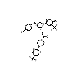 O=C(CC[C@@H]1C[C@@H](Oc2ccc(Cl)cc2)CN1c1cc(C(F)(F)F)c(=O)[nH]n1)N1CCN(c2ncc(C(F)(F)F)cn2)CC1